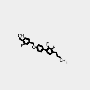 CCCCc1ccc(-c2ccc(OCc3ccc(CC)c(F)c3)cc2)c(F)c1F